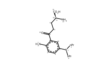 CCCN(CCC)c1ccc(N)c(C(=O)CC[C@H](N)C(=O)O)c1